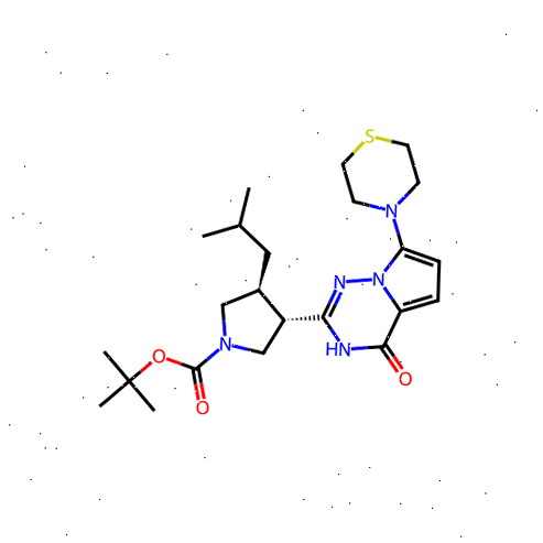 CC(C)C[C@@H]1CN(C(=O)OC(C)(C)C)C[C@H]1c1nn2c(N3CCSCC3)ccc2c(=O)[nH]1